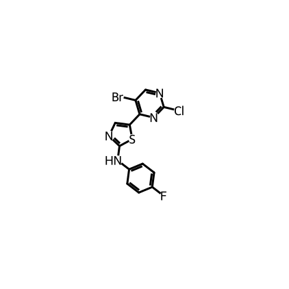 Fc1ccc(Nc2ncc(-c3nc(Cl)ncc3Br)s2)cc1